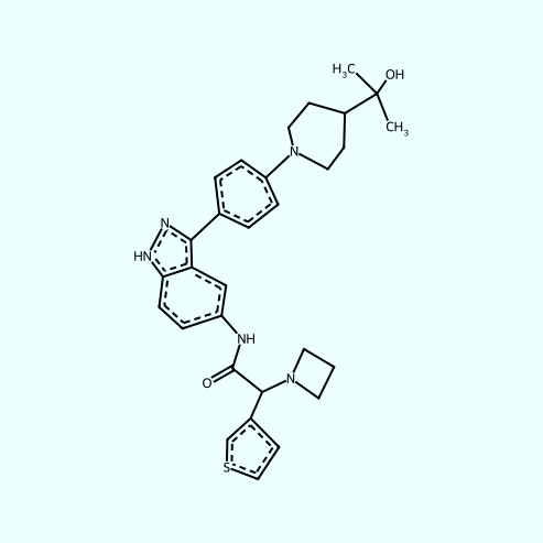 CC(C)(O)C1CCN(c2ccc(-c3n[nH]c4ccc(NC(=O)C(c5ccsc5)N5CCC5)cc34)cc2)CC1